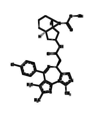 Cc1sc2c(c1C)C(c1ccc(Cl)cc1)=N[C@@H](CC(=O)NC1C[C@H]3CCC[C@@H]4N(C(=O)OC(C)(C)C)C34C1)c1cnc(C)n1-2